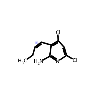 CC/C=C\c1c(Cl)cc(Cl)nc1N